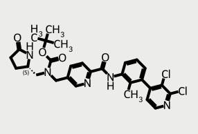 Cc1c(NC(=O)c2ccc(CN(C[C@@H]3CCC(=O)N3)C(=O)OC(C)(C)C)cn2)cccc1-c1ccnc(Cl)c1Cl